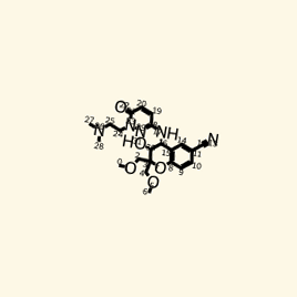 COCC1(COC)Oc2ccc(C#N)cc2[C@@H](Nc2ccc(=O)n(CCN(C)C)n2)[C@@H]1O